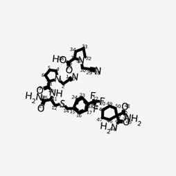 N#CCN1CCCC1C(=O)NC(CSCc1ccc(C(F)(F)F)cc1)C(N)=O.N#CCN1CCCC1C(=O)O.NC(=O)C1(C(N)=O)CCCCC1